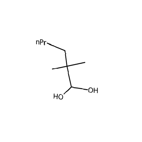 CCCCC(C)(C)C(O)O